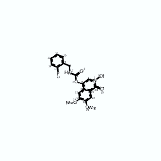 CCn1cc(OC(=O)NCc2ccccc2F)c2cc(OC)c(OC)cc2c1=O